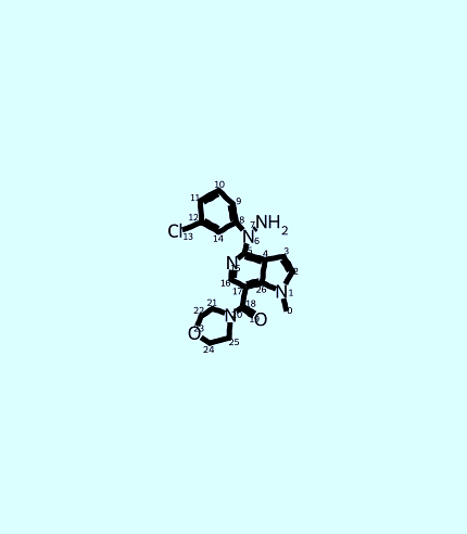 Cn1ccc2c(N(N)c3cccc(Cl)c3)ncc(C(=O)N3CCOCC3)c21